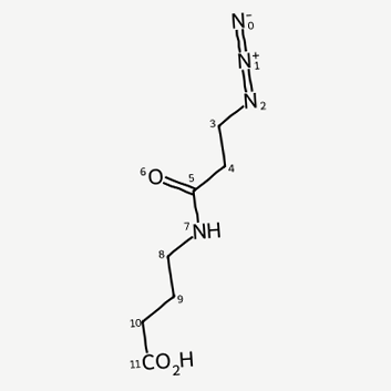 [N-]=[N+]=NCCC(=O)NCCCC(=O)O